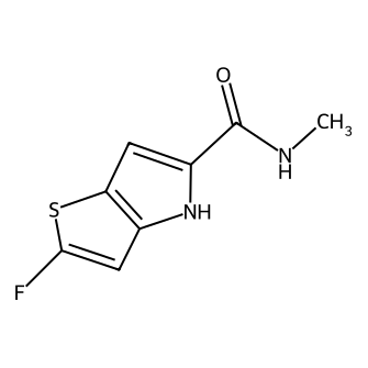 CNC(=O)c1cc2sc(F)cc2[nH]1